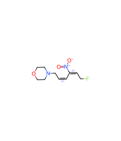 O=[N+]([O-])C(/C=C\CN1CCOCC1)=C/CF